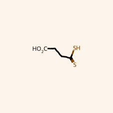 O=C(O)CCC(=S)S